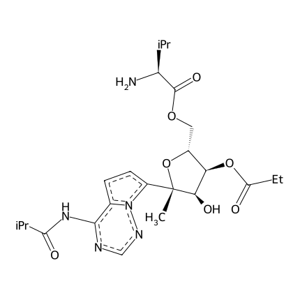 CCC(=O)O[C@H]1[C@@H](O)[C@](C)(c2ccc3c(NC(=O)C(C)C)ncnn23)O[C@@H]1COC(=O)[C@@H](N)C(C)C